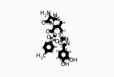 Cc1ccc(S(=O)(=O)OC(=O)C2=C(CSc3nnc(-c4ccc(O)c(O)c4)o3)CS[C@@H]3[C@H](N)C(=O)N23)cc1